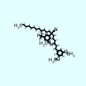 CCCCCCCCCCCCC(C#N)(CCCC(CCc1cc(OC)cc(OC)c1)/N=N/C)c1cccc(C(F)(F)F)c1